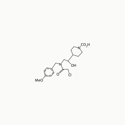 COc1ccc(CN(CC(O)C2CCN(C(=O)O)CC2)C(=O)CCl)cc1